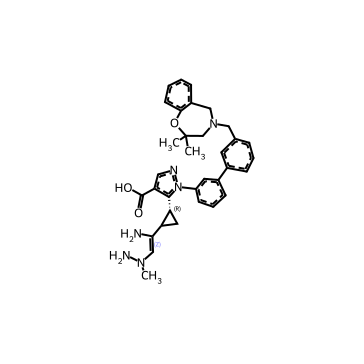 CN(N)/C=C(\N)C1C[C@H]1c1c(C(=O)O)cnn1-c1cccc(-c2cccc(CN3Cc4ccccc4OC(C)(C)C3)c2)c1